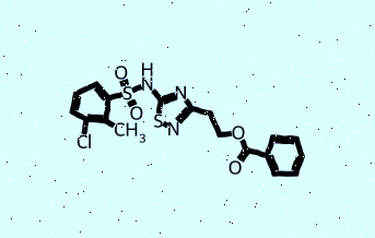 Cc1c(Cl)cccc1S(=O)(=O)Nc1nc(CCOC(=O)c2ccccc2)ns1